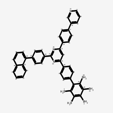 Bc1c(B)c(B)c(-c2ccc(-c3cc(-c4ccc(-c5cccnc5)cc4)nc(-c4ccc(-c5cccc6ccccc56)cc4)n3)cc2)c(B)c1B